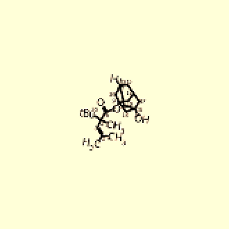 CC(C)=CC(C)(C(=O)OC12CC3C[C@H](CC(O)(C3)C1)C2)C(C)(C)C